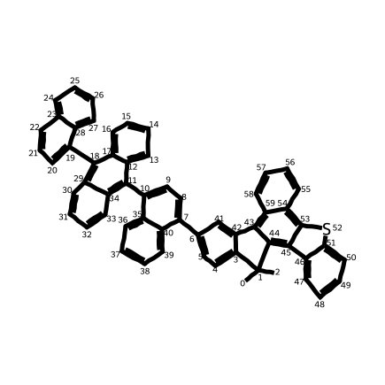 CC1(C)c2ccc(-c3ccc(-c4c5ccccc5c(-c5cccc6ccccc56)c5ccccc45)c4ccccc34)cc2-c2c1c1c3ccccc3sc1c1ccccc21